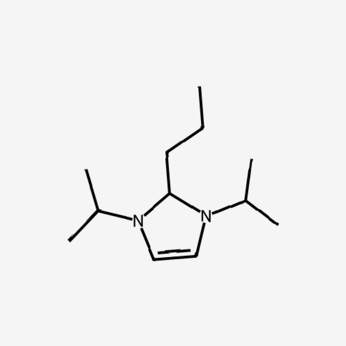 CCCC1N(C(C)C)C=CN1C(C)C